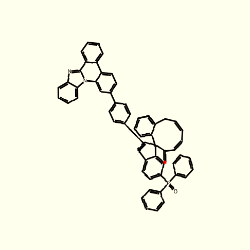 C=C1/C=C\C=C/Cc2ccccc2C12c1cc(-c3ccc(-c4ccc5c6ccccc6c6nc7ccccc7n6c5c4)cc3)ccc1-c1ccc(P(=O)(c3ccccc3)c3ccccc3)cc12